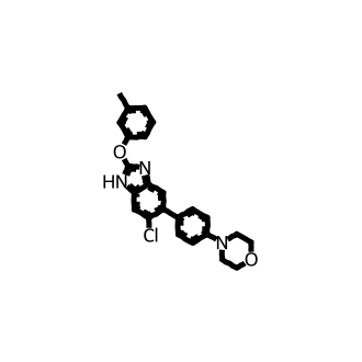 Cc1cccc(Oc2nc3cc(-c4ccc(N5CCOCC5)cc4)c(Cl)cc3[nH]2)c1